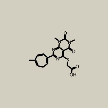 CC1=CCC=C(c2nc(SCC(=O)O)c3c(=O)n(C)c(=O)n(C)c3n2)C=C1